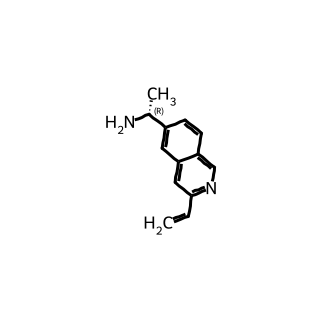 C=Cc1cc2cc([C@@H](C)N)ccc2cn1